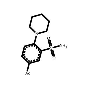 CC(=O)c1ccc(N2CCCCC2)c(S(N)(=O)=O)c1